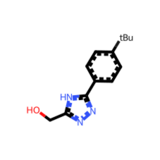 CC(C)(C)c1ccc(-c2nnc(CO)[nH]2)cc1